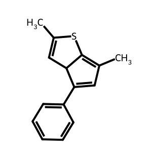 CC1=CC2C(c3ccccc3)=CC(C)=C2S1